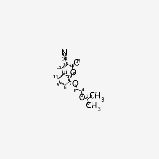 CC(C)OCCOc1cccc2cc(C#N)c(=O)oc12